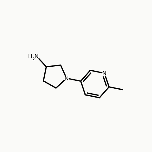 Cc1ccc(N2CCC(N)C2)cn1